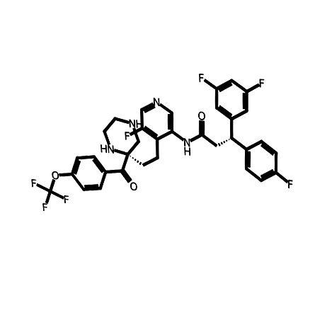 O=C(C[C@@H](c1ccc(F)cc1)c1cc(F)cc(F)c1)Nc1cncc(F)c1CC[C@@]1(C(=O)c2ccc(OC(F)(F)F)cc2)CNCCN1